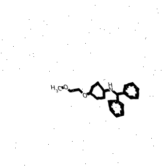 COCCOC1CCC(NC(c2ccccc2)c2ccccc2)CC1